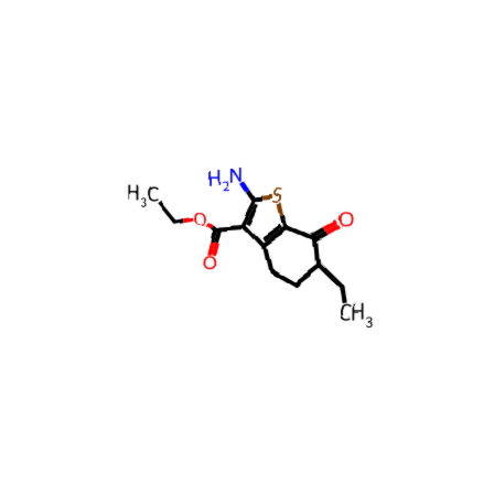 CCOC(=O)c1c(N)sc2c1CCC(CC)C2=O